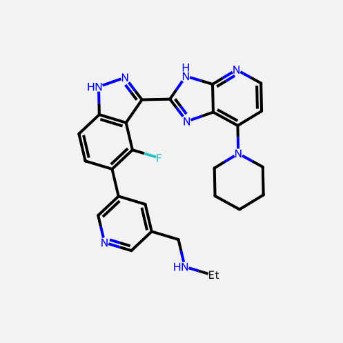 CCNCc1cncc(-c2ccc3[nH]nc(-c4nc5c(N6CCCCC6)ccnc5[nH]4)c3c2F)c1